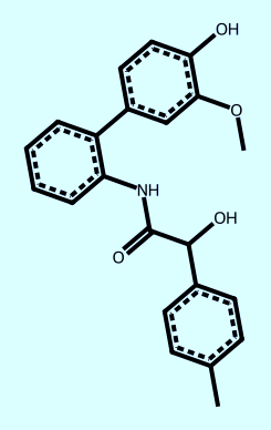 COc1cc(-c2ccccc2NC(=O)C(O)c2ccc(C)cc2)ccc1O